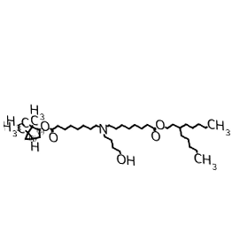 CCCCCC(CCCCC)CCOC(=O)CCCCCCCN(CCCCO)CCCCCCCC(=O)O[C@H]1C[C@H]2CC2(C)C1(C)C